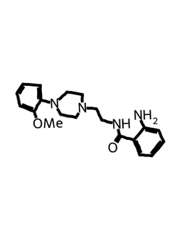 COc1ccccc1N1CCN(CCNC(=O)c2ccccc2N)CC1